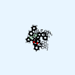 CCc1ccccc1-c1c(C(C)(C)C)ccc2c1C=C(c1ccccc1)[CH]2[Zr]([Cl])([Cl])([c]1cccc2c1[SiH2]c1ccccc1-2)[CH]1C(c2ccccc2)=Cc2c1ccc(C(C)(C)C)c2-c1ccccc1CC